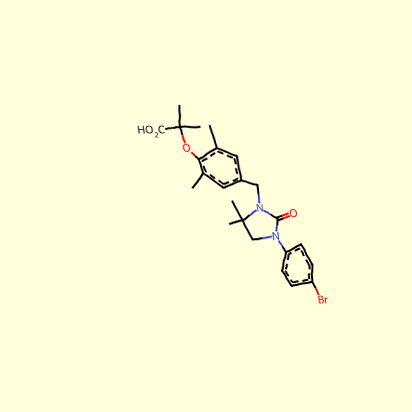 Cc1cc(CN2C(=O)N(c3ccc(Br)cc3)CC2(C)C)cc(C)c1OC(C)(C)C(=O)O